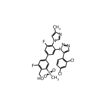 Cc1cn(-c2c(F)cc(-c3cc(F)c(CO)c(S(C)(=O)=O)c3)cc2-n2nncc2-c2ccc(Cl)cc2Cl)cn1